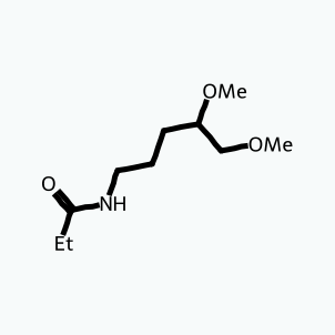 CCC(=O)NCCCC(COC)OC